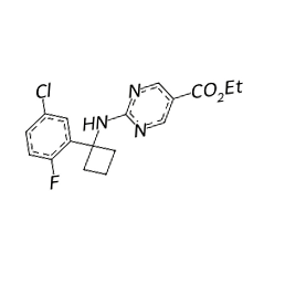 CCOC(=O)c1cnc(NC2(c3cc(Cl)ccc3F)CCC2)nc1